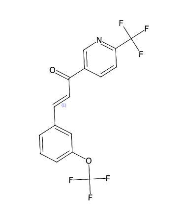 O=C(/C=C/c1cccc(OC(F)(F)F)c1)c1ccc(C(F)(F)F)nc1